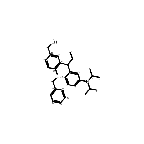 CCC(c1cccc(N(C(C)C)C(C)C)c1)c1cc(CO)ccc1OCc1ccccc1